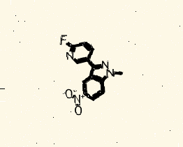 Cn1nc(-c2ccc(F)nc2)c2cc([N+](=O)[O-])ccc21